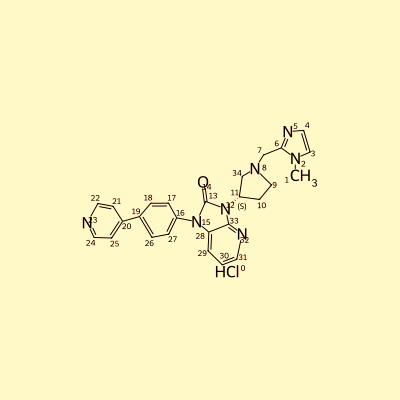 Cl.Cn1ccnc1CN1CC[C@H](n2c(=O)n(-c3ccc(-c4ccncc4)cc3)c3cccnc32)C1